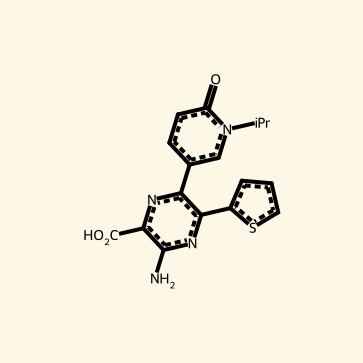 CC(C)n1cc(-c2nc(C(=O)O)c(N)nc2-c2cccs2)ccc1=O